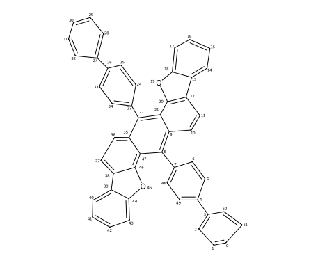 c1ccc(-c2ccc(-c3c4ccc5c6ccccc6oc5c4c(-c4ccc(-c5ccccc5)cc4)c4ccc5c6ccccc6oc5c34)cc2)cc1